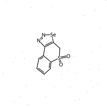 O=S1(=O)Cc2[se]nnc2-c2ccccc21